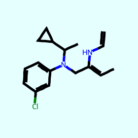 C=CN/C(=C\C)CN(c1cccc(Cl)c1)C(C)C1CC1